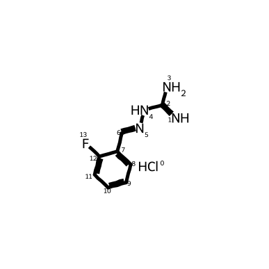 Cl.N=C(N)NN=Cc1ccccc1F